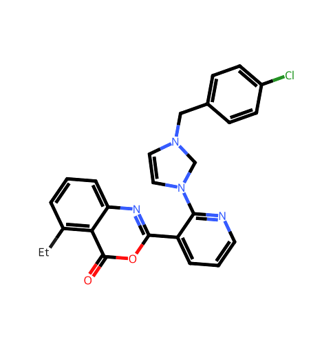 CCc1cccc2nc(-c3cccnc3N3C=CN(Cc4ccc(Cl)cc4)C3)oc(=O)c12